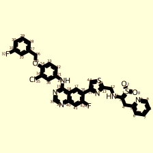 O=S(=O)=C(Cc1ccccn1)NCc1nc(-c2cc3c(Nc4ccc(OCc5cccc(F)c5)c(Cl)c4)ncnc3cc2F)cs1